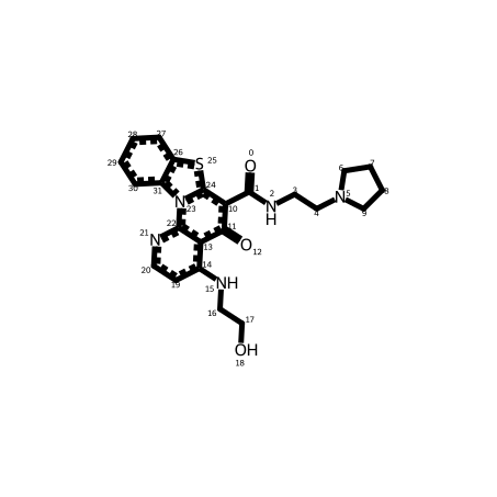 O=C(NCCN1CCCC1)c1c(=O)c2c(NCCO)ccnc2n2c1sc1ccccc12